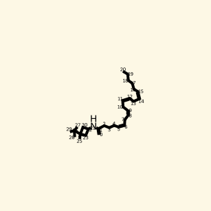 C=C(CCC/C=C\C/C=C\C/C=C\C/C=C\CCCCC)NC1CC(C)(C(C)(C)C)C1